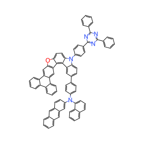 c1ccc(-c2nc(-c3ccccc3)nc(-c3ccc(-n4c5ccc(-c6ccc(N(c7ccc8cc9ccccc9cc8c7)c7cccc8ccccc78)cc6)cc5c5c6c(ccc54)oc4cc5c7ccccc7c7ccccc7c5cc46)cc3)n2)cc1